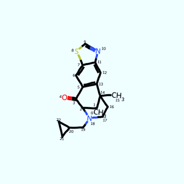 CC1C2C(=O)c3cc4scnc4cc3C1(C)CCN2CC1CC1